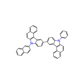 c1ccc(-n2c3ccc(-c4ccc5c(c4)c4c6ccccc6ccc4n5-c4ccc5ccccc5c4)cc3c3c4ccccc4ccc32)cc1